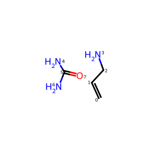 C=CCN.NC(N)=O